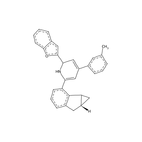 Cc1cccc(C2=CC(c3cc4ccccc4o3)NC(c3cccc4c3C3C[C@@H]3C4)=C2)c1